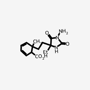 CCC1(CCC2(C)C=CC=CC2C(=O)O)NC(=O)N(N)C1=O